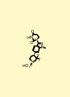 Cn1nc(N2CCC(=O)NC2=O)c2ccc([C@@H]3CCN(C(=O)O)CC3(F)F)cc21